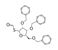 O=CSC1O[C@H](COCc2ccccc2)[C@@H](OCc2ccccc2)[C@H]1OCc1ccccc1